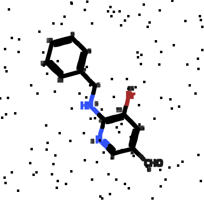 O=Cc1cnc(NCc2ccccc2)c(Br)c1